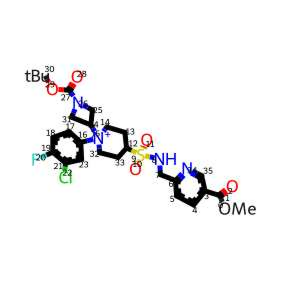 COC(=O)c1ccc(CNS(=O)(=O)C2CC[N+](c3ccc(F)c(Cl)c3)(C3CN(C(=O)OC(C)(C)C)C3)CC2)nc1